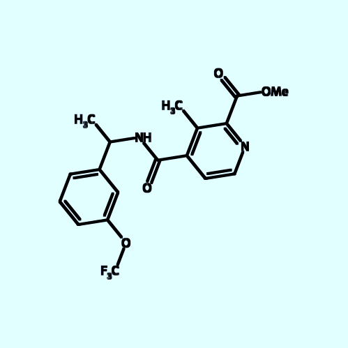 COC(=O)c1nccc(C(=O)NC(C)c2cccc(OC(F)(F)F)c2)c1C